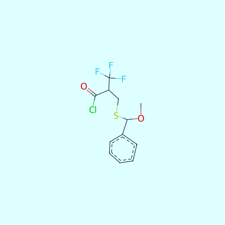 COC(SCC(C(=O)Cl)C(F)(F)F)c1ccccc1